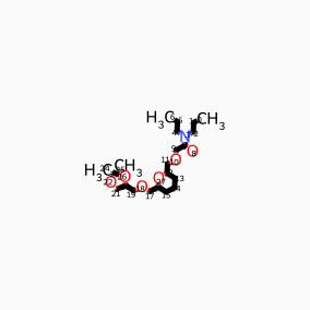 CCCN(CCC)C(=O)COCC1CCCC(COCC2COC(C)(C)O2)O1